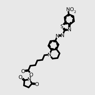 O=C(CCCCCN1CCCc2cc(N=Nc3nc4ccc([N+](=O)[O-])cc4s3)ccc21)ON1C(=O)CCC1=O